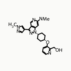 CNc1cc2c(cn1)c(-c1cnn(C)c1)nn2[C@H]1CC[C@@H](Oc2cccnc2CO)CC1